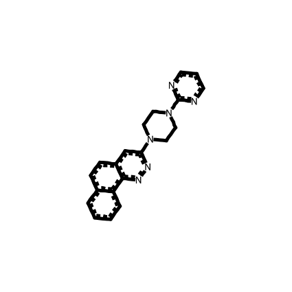 c1cnc(N2CCN(c3cc4ccc5ccccc5c4nn3)CC2)nc1